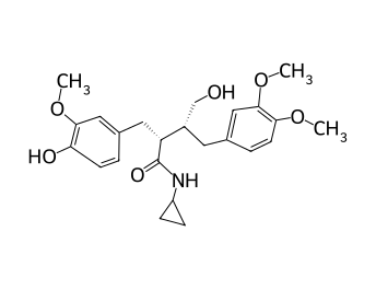 COc1cc(C[C@@H](C(=O)NC2CC2)[C@H](CO)Cc2ccc(OC)c(OC)c2)ccc1O